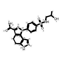 CC(O)CNS(=O)(=O)c1ccc(-n2nc(C(N)=O)c3c2-c2cn[nH]c2CC3)cc1